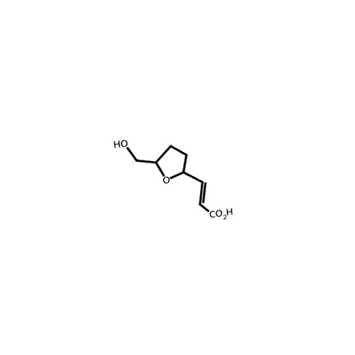 O=C(O)C=CC1CCC(CO)O1